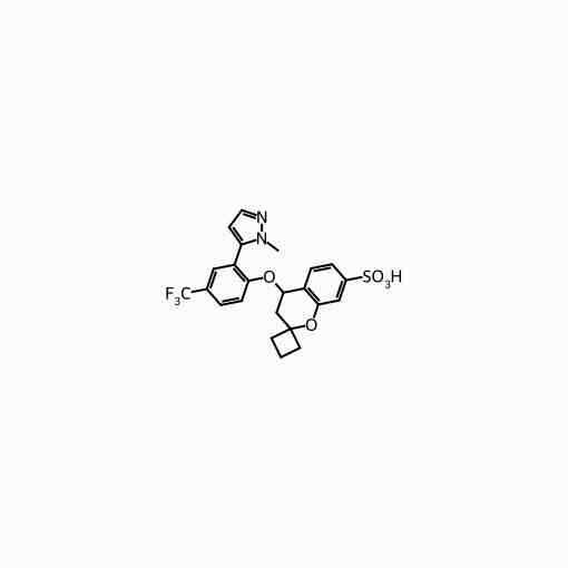 Cn1nccc1-c1cc(C(F)(F)F)ccc1OC1CC2(CCC2)Oc2cc(S(=O)(=O)O)ccc21